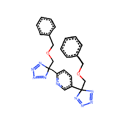 c1ccc(COCC2(c3ccc(C4(COCc5ccccc5)N=NN=N4)nc3)N=NN=N2)cc1